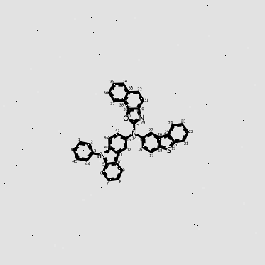 c1ccc(-n2c3ccccc3c3cc(N(c4ccc5sc6ccccc6c5c4)c4nc5ccc6ccccc6c5o4)ccc32)cc1